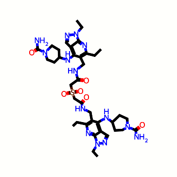 CCc1nc2c(cnn2CC)c(NC2CCN(C(N)=O)CC2)c1CNC(=O)CS(=O)(=O)CC(=O)NCc1c(CC)nc2c(cnn2CC)c1NC1CCN(C(N)=O)CC1